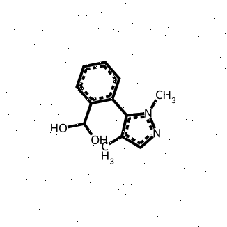 Cc1cnn(C)c1-c1ccccc1C(O)O